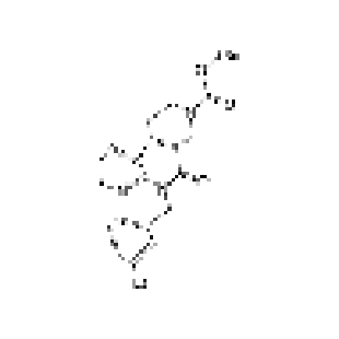 CCc1cccc(Cn2c(=O)c3c(c4cccnc42)CCN(C(=O)OC(C)(C)C)C3)c1